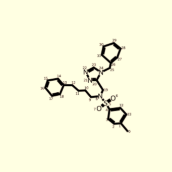 Cc1ccc(S(=O)(=O)N(CCCCc2ccccc2)Cc2nncn2Cc2ccccc2)cc1